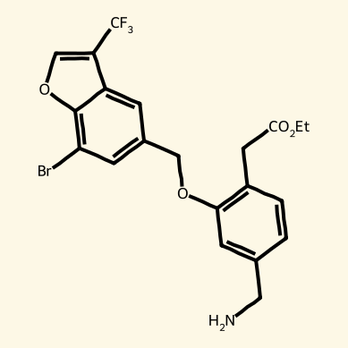 CCOC(=O)Cc1ccc(CN)cc1OCc1cc(Br)c2occ(C(F)(F)F)c2c1